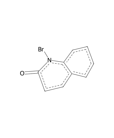 O=c1ccc2ccccc2n1Br